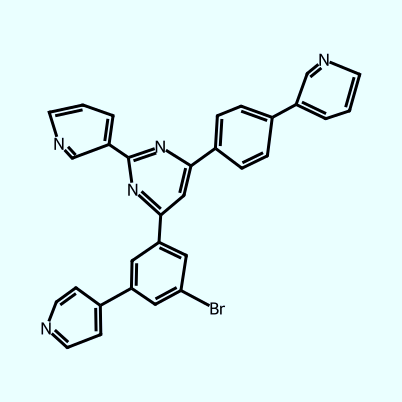 Brc1cc(-c2ccncc2)cc(-c2cc(-c3ccc(-c4cccnc4)cc3)nc(-c3cccnc3)n2)c1